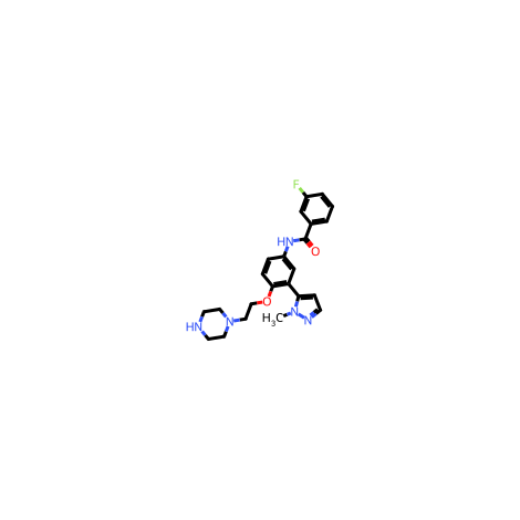 Cn1nccc1-c1cc(NC(=O)c2cccc(F)c2)ccc1OCCN1CCNCC1